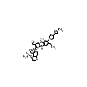 C=Cc1cnc(Nc2cc(CC)c(N3CCC(C4CN(C)C4)CC3)cc2OC)nc1Nc1ccc2nccnc2c1N(C)S(C)(=O)=O